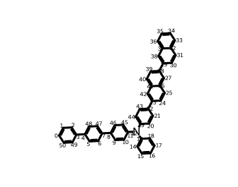 c1ccc(-c2ccc(-c3ccc(N(c4ccccc4)c4ccc(-c5ccc6cc(-c7ccc8ccccc8c7)ccc6c5)cc4)cc3)cc2)cc1